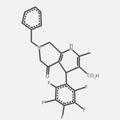 CC1=C(C(=O)O)C(c2c(F)c(F)c(F)c(F)c2F)C2=C(CN(Cc3ccccc3)CC2=O)N1